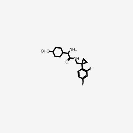 NC(C(=O)NCC1(c2ccc(F)cc2F)CC1)C1CCC(C=O)CC1